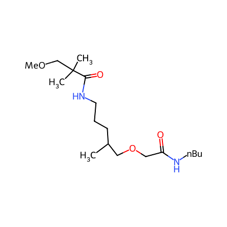 CCCCNC(=O)COCC(C)CCCNC(=O)C(C)(C)COC